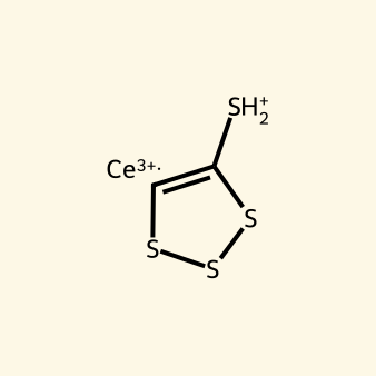 [Ce+3].[SH2+]C1=CSSS1